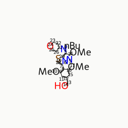 CCCCN(c1c(OC)nn2c(-c3c(OC)cc(CO)cc3OC)csc12)C1CCOCC1